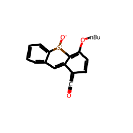 CCCCOc1ccc(=C=O)c2c1[S+]([O-])c1ccccc1C=2